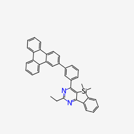 CCc1nc(-c2cccc(-c3ccc4c5ccccc5c5ccccc5c4c3)c2)c2c(n1)-c1ccccc1[Si]2(C)C